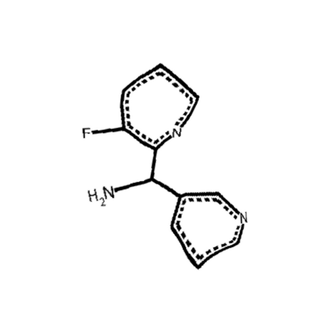 NC(c1cccnc1)c1ncccc1F